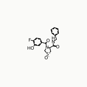 O=C(NCc1ccccc1)C1C[S+]([O-])CN1C(=O)c1ccc(F)c(O)c1